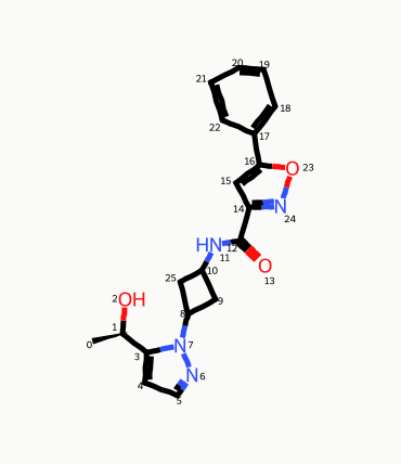 C[C@@H](O)c1ccnn1C1CC(NC(=O)c2cc(-c3ccccc3)on2)C1